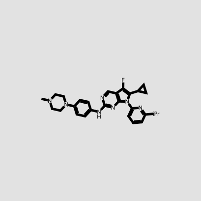 CC(C)c1cccc(-n2c(C3CC3)c(F)c3cnc(Nc4ccc(N5CCN(C)CC5)cc4)nc32)n1